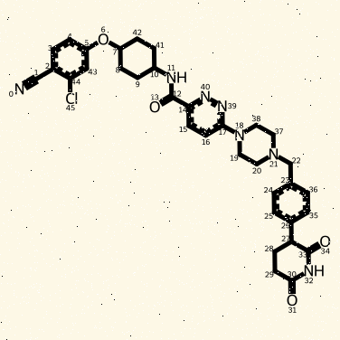 N#Cc1ccc(OC2CCC(NC(=O)c3ccc(N4CCN(Cc5ccc(C6CCC(=O)NC6=O)cc5)CC4)nn3)CC2)cc1Cl